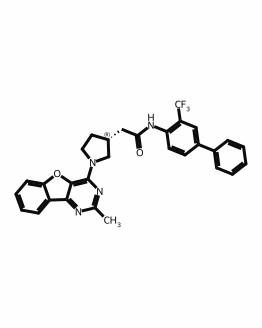 Cc1nc(N2CC[C@H](CC(=O)Nc3ccc(-c4ccccc4)cc3C(F)(F)F)C2)c2oc3ccccc3c2n1